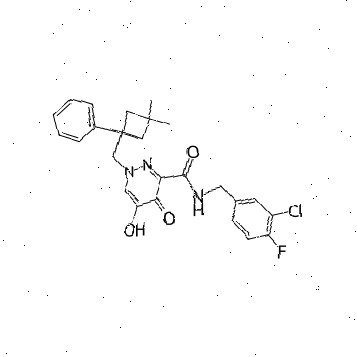 CC1(C)CC(Cn2cc(O)c(=O)c(C(=O)NCc3ccc(F)c(Cl)c3)n2)(c2ccccc2)C1